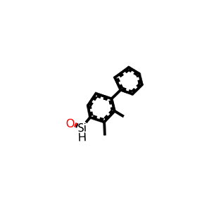 Cc1c([SiH]=O)ccc(-c2ccccc2)c1C